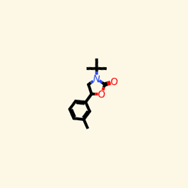 Cc1cccc(C2CN(C(C)(C)C)C(=O)O2)c1